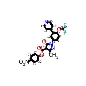 CC1=NN(c2ccc(OC(F)F)c(-c3ccncc3)c2)C(=O)C1C(=O)Oc1ccc([N+](=O)[O-])cc1